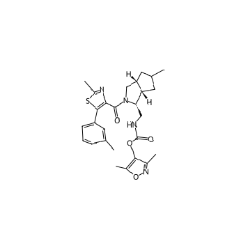 Cc1cccc(-c2sc(C)nc2C(=O)N2C[C@@H]3CC(C)C[C@@H]3[C@H]2CNC(=O)Oc2c(C)noc2C)c1